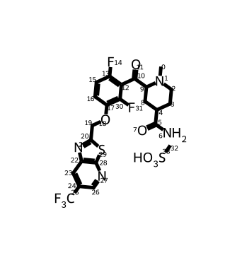 CN1CCC(C(N)=O)CC1C(=O)c1c(F)ccc(OCc2nc3cc(C(F)(F)F)cnc3s2)c1F.CS(=O)(=O)O